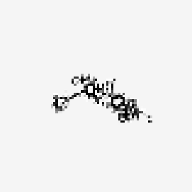 COc1cc(C#Cc2ccccn2)cc2cnc(Nc3ccc(S(N)(=O)=O)cc3)nc12